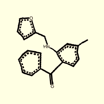 Cc1ccc(C(=O)c2ccccc2)c(NCc2ccco2)c1